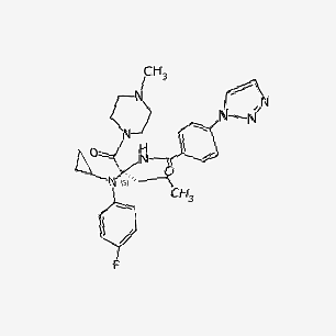 CCC[C@@](NC(=O)c1ccc(-n2ccnn2)cc1)(C(=O)N1CCN(C)CC1)N(c1ccc(F)cc1)C1CC1